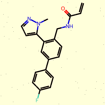 C=CC(=O)NCc1ccc(-c2ccc(F)cc2)cc1-c1ccnn1C